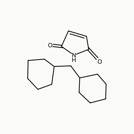 C1CCC(CC2CCCCC2)CC1.O=C1C=CC(=O)N1